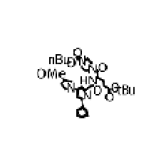 CCCCOC(=O)N1CCN(C(=O)C(CCC(=O)OC(C)(C)C)NC(=O)c2cc(N3CCC(OC)C3)cc(-c3ccccc3)n2)CC1